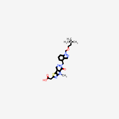 Cn1c2nc(CC(=O)O)sc2c2cnn(Cc3cccc4c3cnn4COCC[Si](C)(C)C)c(=O)c21